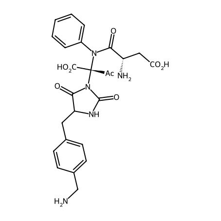 CC(=O)[C@](C(=O)O)(N1C(=O)NC(Cc2ccc(CN)cc2)C1=O)N(C(=O)[C@@H](N)CC(=O)O)c1ccccc1